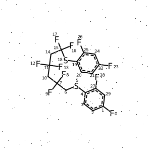 Fc1ccc(SCC(F)(F)CC(F)(F)CC(F)(F)Sc2ccc(F)cc2F)c(F)c1